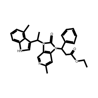 CCOC(=O)CC(c1ccccc1)n1c(=O)n(C(C)c2c[nH]c3cccc(C)c23)c2cnc(C)cc21